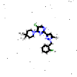 CC(=O)c1cc(-c2ncc(F)c(N3CCC(C)(C)CC3)n2)nn1Cc1ccccc1F